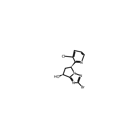 O[C@H]1C[C@@H](c2ncccc2Cl)n2nc(Br)nc21